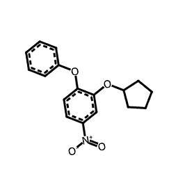 O=[N+]([O-])c1ccc(Oc2ccccc2)c(OC2CCCC2)c1